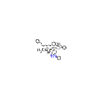 C=C/C=C(\C=C/CC(C/C=C\CCC=C)(C(/C=C\C(=C)Nc1ccccc1)=C\C)c1ccccc1/C=C/C=C/C=C\Cc1ccccc1)c1ccccc1